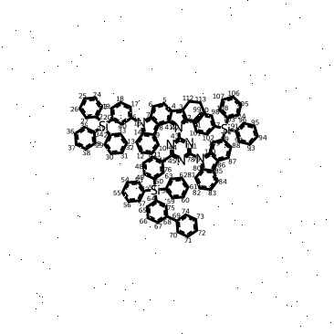 C1=Cc2c(c3ccc4c(c5ccccc5n4-c4cccc([Si](c5ccccc5)(c5ccccc5)c5ccccc5)c4)c3n2-c2nc(-c3cccc([Si](c4ccccc4)(c4ccccc4)c4cccc(-c5ccccc5)c4)c3)nc(-n3c4ccccc4c4ccc([Si](c5ccccc5)(c5ccccc5)c5ccccc5)cc43)n2)CC1